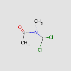 CC(=O)N(C)C(Cl)Cl